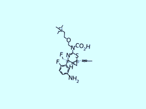 CC#C[C@]12C[C@H]1[C@@](CF)(c1cc(N)ccc1F)N=C(N(COCC[Si](C)(C)C)C(=O)O)S2